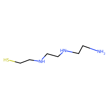 NCCNCCNCCS